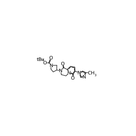 Cc1cn(-c2ccc3n(c2=O)CCN(C2CCN(C(=O)OC(C)(C)C)C2)C3=O)cn1